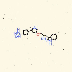 NC(COc1cncc(-c2ccc(-c3nnn[nH]3)cc2)c1)Cc1c[nH]c2ccccc12